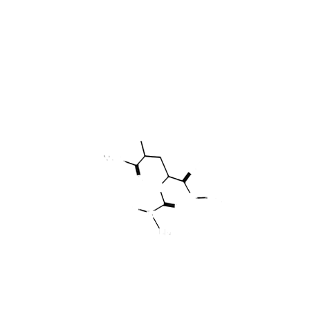 CCCCOC(=O)C(CC(C)C(=O)OC)SC(=S)N(CCCC)CCCC